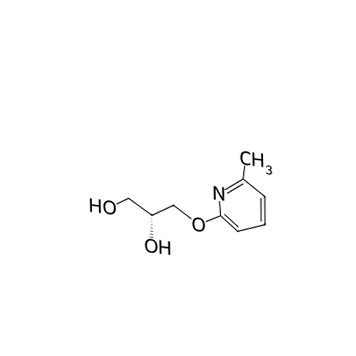 Cc1cccc(OC[C@H](O)CO)n1